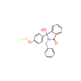 O=C1c2ccccc2C(O)(c2ccc(OSF)cc2)N1Cc1ccccc1